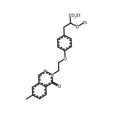 CCOC(=O)C(Cc1ccc(OCCn2ncc3cc(C)ccc3c2=O)cc1)OCC